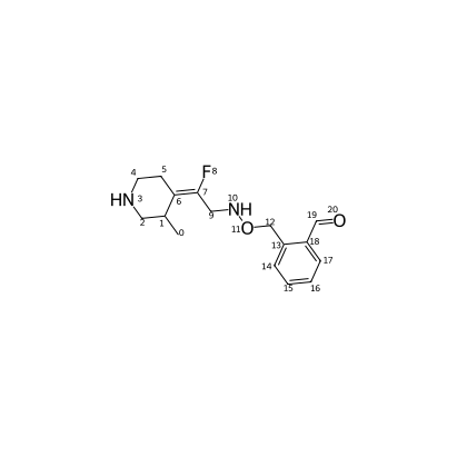 CC1CNCC/C1=C(\F)CNOCc1ccccc1C=O